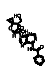 O=C(Nc1ncnc2c1ncn2[C@@H]1O[C@]2(CO)C(O)[C@@H]1OC21CC1)c1ccccc1